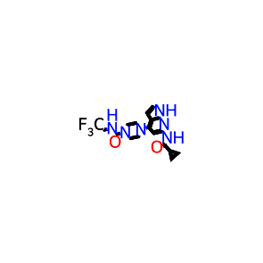 O=C(Nc1cc(N2CCN(C(=O)NCC(F)(F)F)CC2)c2cc[nH]c2n1)C1CC1